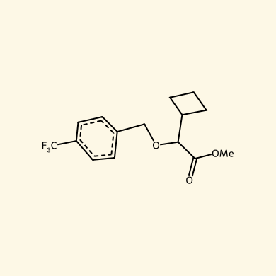 COC(=O)C(OCc1ccc(C(F)(F)F)cc1)C1CCC1